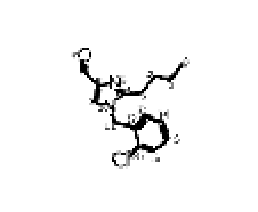 CCCCc1nc(C=O)cn1Cc1ccccc1Cl